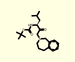 CC(C)C[C@H](NC(=O)OC(C)(C)C)C(=O)CN1CCCc2ccccc2C1